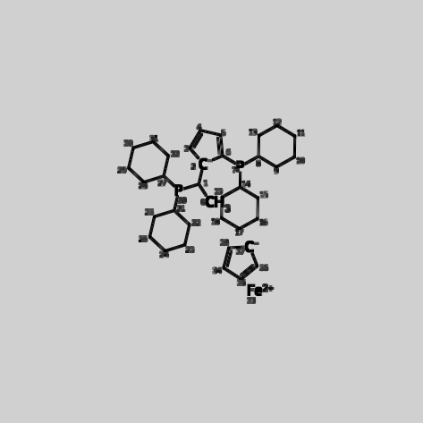 CC([c-]1cccc1P(C1CCCCC1)C1CCCCC1)P(C1CCCCC1)C1CCCCC1.[Fe+2].c1cc[cH-]c1